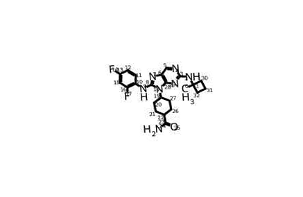 CC1(Nc2ncc3nc(Nc4ccc(F)cc4F)n(C4CCC(C(N)=O)CC4)c3n2)CCC1